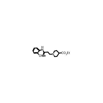 CCOC(=O)C1CCN(CCC(=O)Nc2ccccc2OC)CC1